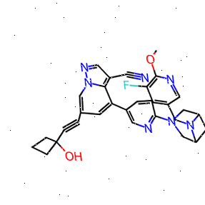 COc1ncc(CN2C3CC2CN(c2ccc(-c4cc(C#CC5(O)CCC5)cn5ncc(C#N)c45)cn2)C3)cc1F